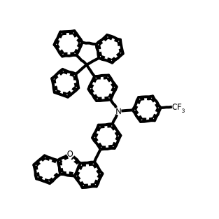 FC(F)(F)c1ccc(N(c2ccc(-c3cccc4c3oc3ccccc34)cc2)c2ccc(C3(c4ccccc4)c4ccccc4-c4ccccc43)cc2)cc1